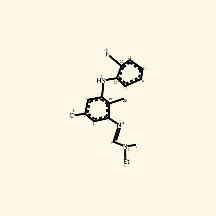 CCN(C)C=Nc1cc(Cl)cc(Nc2ccccc2F)c1C